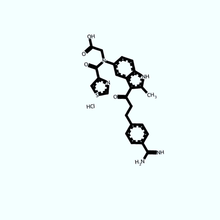 Cc1[nH]c2ccc(N(CC(=O)O)C(=O)c3cscn3)cc2c1C(=O)CCc1ccc(C(=N)N)cc1.Cl